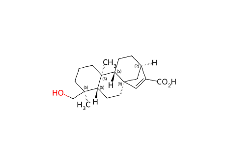 C[C@]1(CO)CCC[C@]2(C)[C@@H]1CC[C@]13C=C(C(=O)O)[C@H](CC[C@H]12)C3